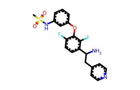 CS(=O)(=O)Nc1cccc(Oc2c(F)ccc(C(N)Cc3ccncc3)c2F)c1